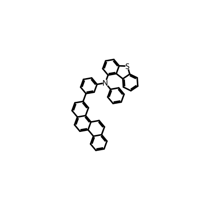 c1ccc(N(c2cccc(-c3ccc4ccc5c6ccccc6ccc5c4c3)c2)c2cccc3sc4ccccc4c23)cc1